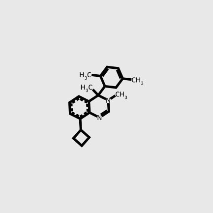 CC1=CC=C(C)C(C2(C)c3cccc(C4CCC4)c3N=CN2C)C1